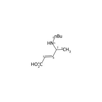 CCCCNC(C)/C=C/C(=O)O